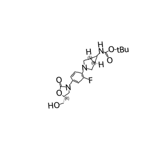 CC(C)(C)OC(=O)NC1[C@H]2CN(c3ccc(N4C[C@H](CO)OC4=O)cc3F)C[C@@H]12